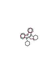 CCCC(P(C1CCCCC1)C1CCCCC1)(P(C1CCCCC1)C1CCCCC1)P(C1CCCCC1)C1CCCCC1